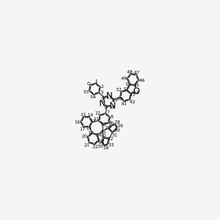 c1ccc(-c2nc(-c3ccc4c(c3)-c3ccccc3-c3ccccc3C43c4ccccc4-c4ccccc43)nc(-c3ccc4oc5ccccc5c4c3)n2)cc1